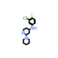 Fc1ccc(NC2CC[N]C(N3CCCCC3)C2)cc1Cl